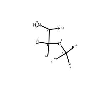 CC(Cl)(OC(F)(F)F)C(N)F